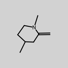 C=C1CC(C)CCN1C